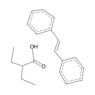 C(=C\c1ccccc1)/c1ccccc1.CCC(CC)C(=O)O